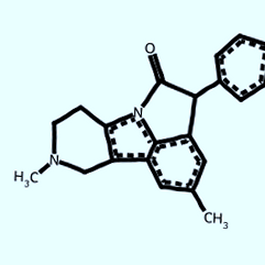 Cc1cc2c3c(c1)c1c(n3C(=O)C2c2ccccc2)CCN(C)C1